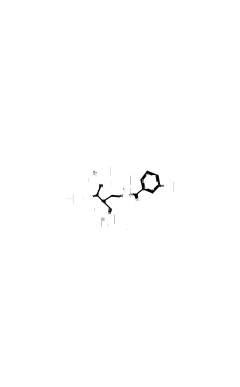 C=CC(C)(CCNC(=O)c1cccc(Cl)c1)C(C)C(=O)OC